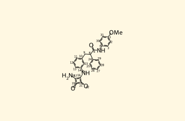 COc1ccc(NC(=O)C(Cc2cccc(Nc3c(N)c(=O)c3=O)c2)c2ccccc2)cc1